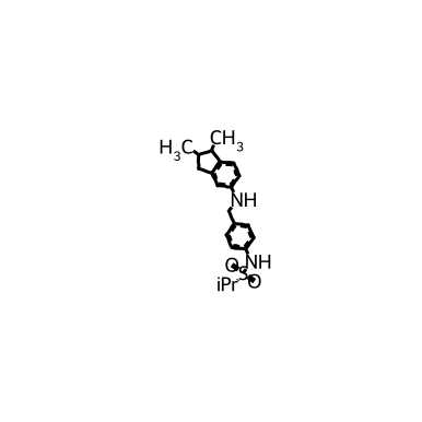 CC1Cc2cc(NCc3ccc(NS(=O)(=O)C(C)C)cc3)ccc2C1C